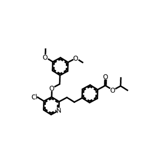 COc1cc(COc2c(Cl)ccnc2CCc2ccc(C(=O)OC(C)C)cc2)cc(OC)c1